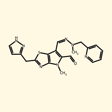 CN(Cc1ccccn1)/N=C\c1c(C=O)n(C)c2nc(Cc3cc[nH]n3)sc12